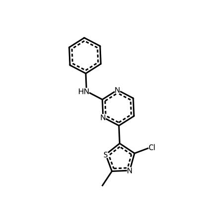 Cc1nc(Cl)c(-c2ccnc(Nc3ccccc3)n2)s1